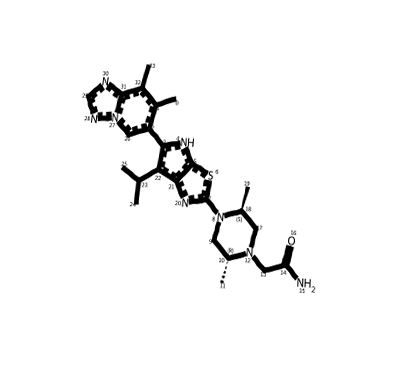 Cc1c(-c2[nH]c3sc(N4C[C@@H](C)N(CC(N)=O)C[C@@H]4C)nc3c2C(C)C)cn2ncnc2c1C